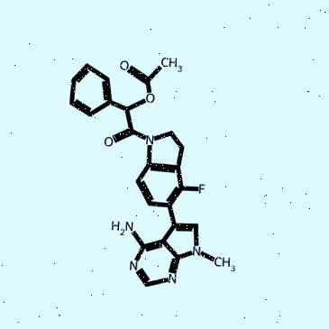 CC(=O)OC(C(=O)N1CCc2c1ccc(-c1cn(C)c3ncnc(N)c13)c2F)c1ccccc1